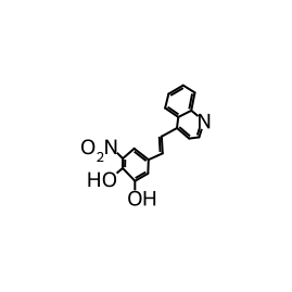 O=[N+]([O-])c1cc(C=Cc2ccnc3ccccc23)cc(O)c1O